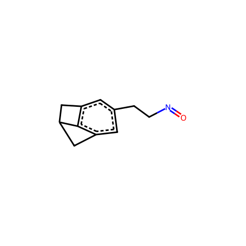 O=NCCc1cc2c3c(c1)CC3C2